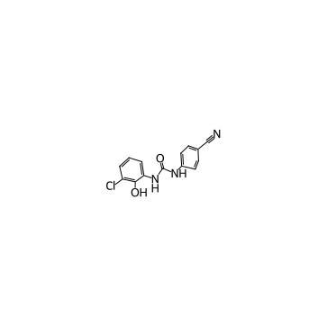 N#Cc1ccc(NC(=O)Nc2cccc(Cl)c2O)cc1